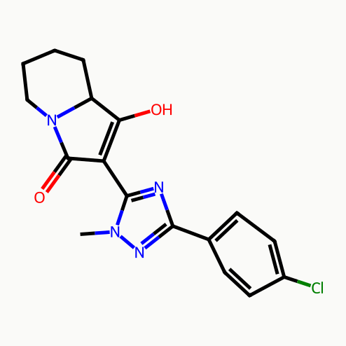 Cn1nc(-c2ccc(Cl)cc2)nc1C1=C(O)C2CCCCN2C1=O